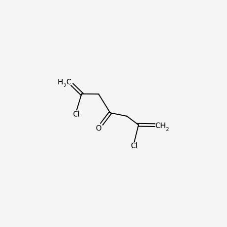 C=C(Cl)CC(=O)CC(=C)Cl